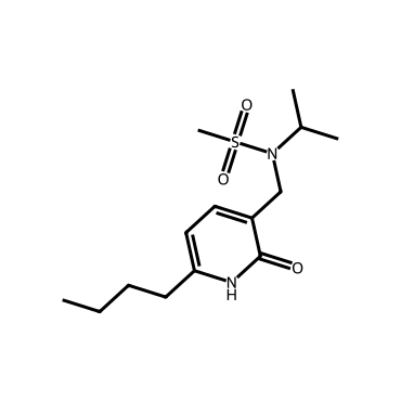 CCCCc1ccc(CN(C(C)C)S(C)(=O)=O)c(=O)[nH]1